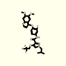 COc1cc2nccc(Oc3ccc(NC(=O)c4nn(CC(C)C)cc4OCC(F)(F)F)cc3F)c2cc1OC